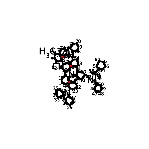 Cc1cc(C)c(-c2ccc3c(c2)c2ccccc2n3-c2c(-c3ccc(-n4c5ccccc5c5ccccc54)cc3)cc(-c3nc(-c4ccccc4)nc(-c4ccccc4)n3)cc2-c2ccc(-n3c4ccccc4c4ccccc43)cc2)c(C)c1